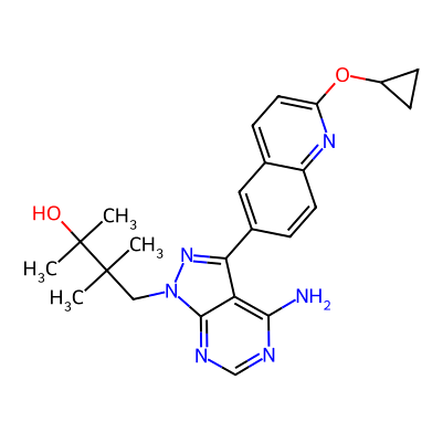 CC(C)(O)C(C)(C)Cn1nc(-c2ccc3nc(OC4CC4)ccc3c2)c2c(N)ncnc21